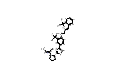 N/C(=N\O)N1CCC[C@H]1c1nc(-c2ccc(OC/C=C/c3ccccc3C(F)(F)F)c(C(F)(F)F)c2)no1